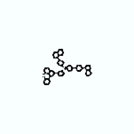 c1cc(-c2cc3c4c(cccc4c2)Oc2ccccc2-3)cc(N(c2ccc(-c3ccc(-c4cccc5ccccc45)cc3)cc2)c2ccc(-c3cccc4ccccc34)cc2)c1